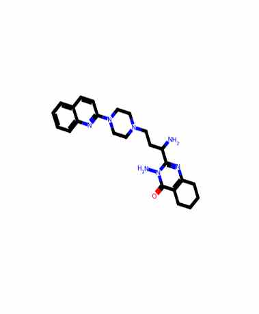 NC(CCN1CCN(c2ccc3ccccc3n2)CC1)c1nc2c(c(=O)n1N)CCCC2